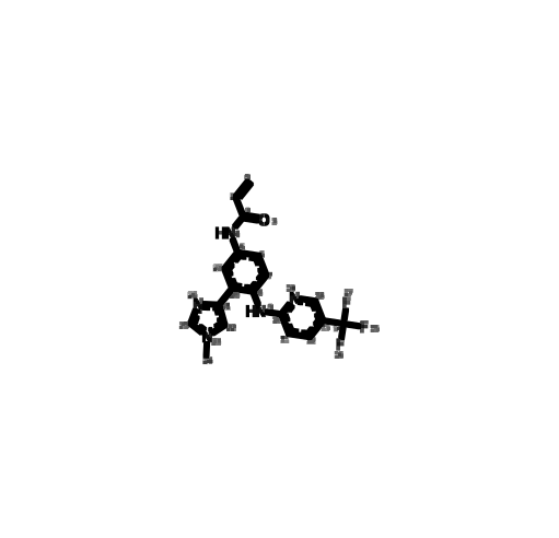 C=CC(=O)Nc1ccc(Nc2ccc(C(F)(F)F)cn2)c(-c2cn(C)cn2)c1